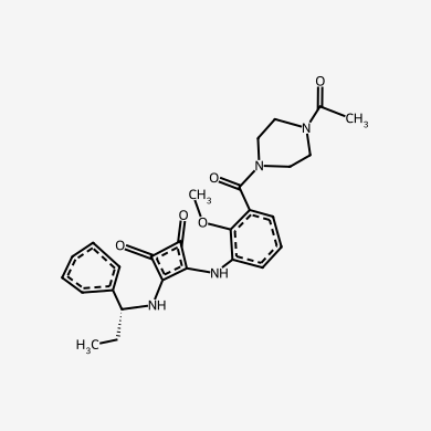 CC[C@@H](Nc1c(Nc2cccc(C(=O)N3CCN(C(C)=O)CC3)c2OC)c(=O)c1=O)c1ccccc1